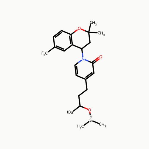 C[SiH](C)OC(CCc1ccn(C2CC(C)(C)Oc3ccc(C(F)(F)F)cc32)c(=O)c1)C(C)(C)C